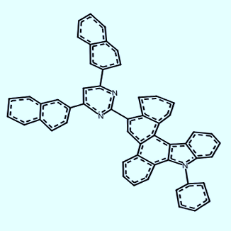 c1ccc(-n2c3ccccc3c3c4c5ccccc5c(-c5nc(-c6ccc7ccccc7c6)cc(-c6ccc7ccccc7c6)n5)cc4c4ccccc4c32)cc1